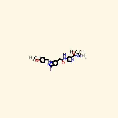 COc1ccc(Cn2nc(I)c3ccc(CC(=O)Nc4ccnc(C(=O)NC(C)(C)C)c4)cc32)cc1